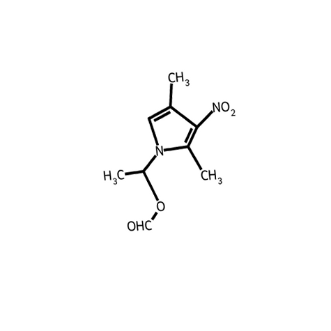 Cc1cn(C(C)OC=O)c(C)c1[N+](=O)[O-]